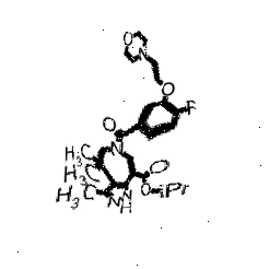 Cc1n[nH]c2c1C(C)(C)CN(C(=O)c1ccc(F)c(OCCN3CCOCC3)c1)C=C2C(=O)OC(C)C